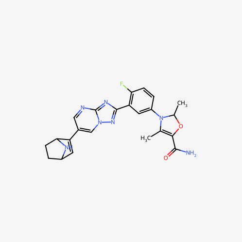 CC1=C(C(N)=O)OC(C)N1c1ccc(F)c(-c2nc3ncc(C4=CC5CCC4N5)cn3n2)c1